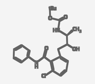 C[C@H](NC(=O)OC(C)(C)C)C(O)Cc1cccc(Cl)c1C(=O)Nc1ccccc1